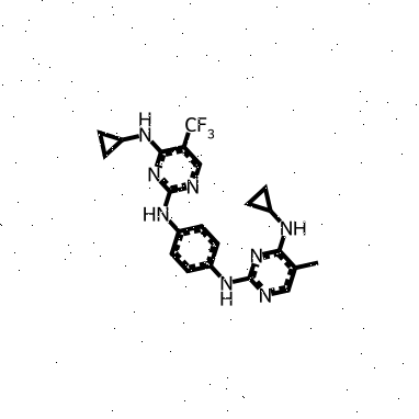 Cc1cnc(Nc2ccc(Nc3ncc(C(F)(F)F)c(NC4CC4)n3)cc2)nc1NC1CC1